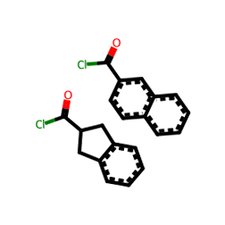 O=C(Cl)C1Cc2ccccc2C1.O=C(Cl)c1ccc2ccccc2c1